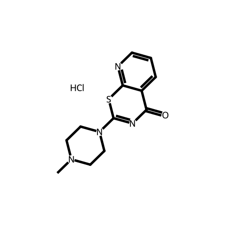 CN1CCN(c2nc(=O)c3cccnc3s2)CC1.Cl